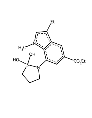 CCOC(=O)c1cc(N2CCCS2(O)O)c2c(c1)c(CC)cn2C